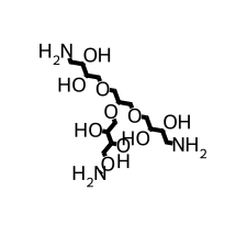 NCC(O)C(O)COCC(COCC(O)C(O)CN)OCC(O)C(O)CON